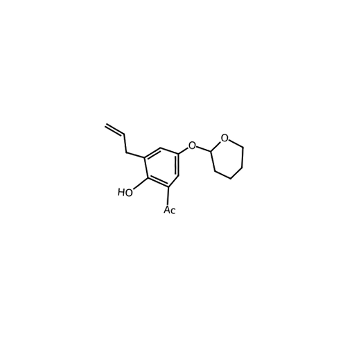 C=CCc1cc(OC2CCCCO2)cc(C(C)=O)c1O